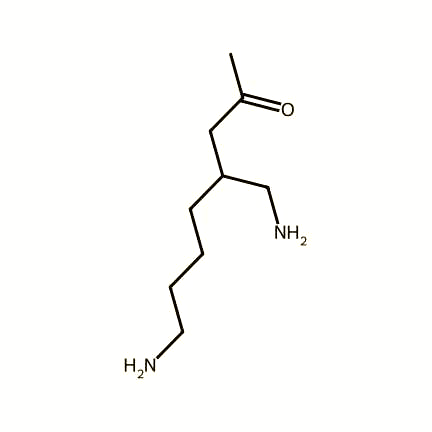 CC(=O)CC(CN)CCCCN